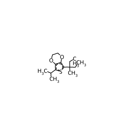 CCC(C)(CC)c1sc(C(C)C)c2c1OCCO2